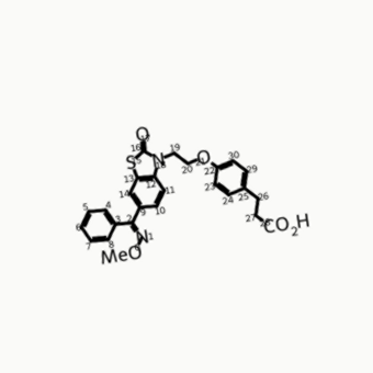 CON=C(c1ccccc1)c1ccc2c(c1)sc(=O)n2CCOc1ccc(CCC(=O)O)cc1